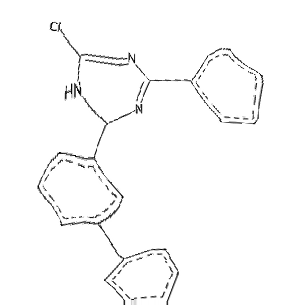 ClC1=NC(c2ccccc2)=NC(c2cccc(-c3ccccc3)c2)N1